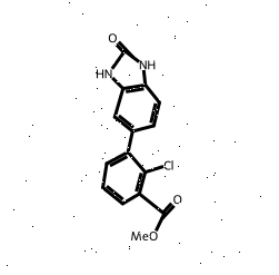 COC(=O)c1cccc(-c2ccc3[nH]c(=O)[nH]c3c2)c1Cl